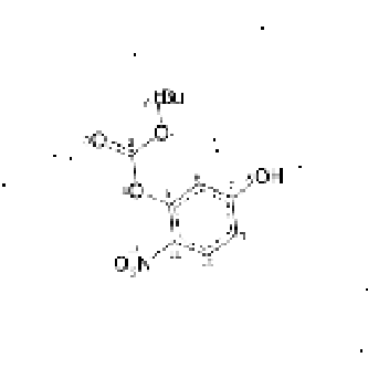 CC(C)(C)OC(=O)Oc1cc(O)ccc1[N+](=O)[O-]